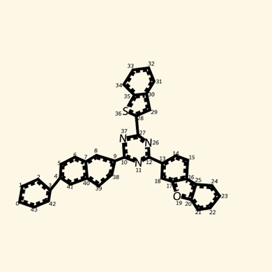 c1ccc(-c2ccc3cc(-c4nc(-c5ccc6c(c5)oc5ccccc56)nc(-c5cc6ccccc6s5)n4)ccc3c2)cc1